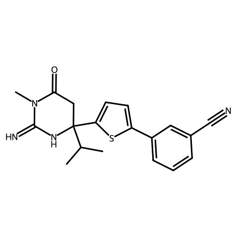 CC(C)C1(c2ccc(-c3cccc(C#N)c3)s2)CC(=O)N(C)C(=N)N1